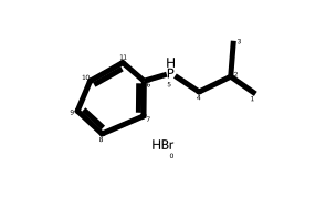 Br.CC(C)CPc1ccccc1